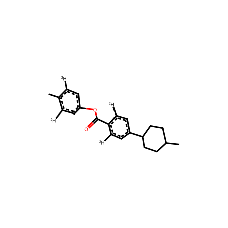 [2H]c1cc(OC(=O)c2c([2H])cc(C3CCC(C)CC3)cc2[2H])cc([2H])c1C